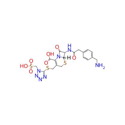 NCc1ccc(CC(=O)NC2C(=O)N3C(C(=O)O)=C(CSc4nnnn4CS(=O)(=O)O)CS[C@H]23)cc1